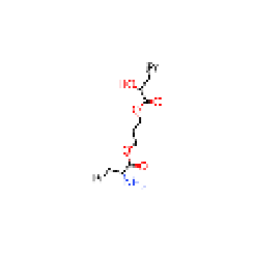 CC(C)CC(N)C(=O)OCCCOC(=O)C(O)CC(C)C